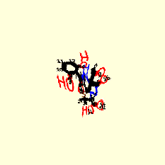 CC(=O)[C@]1(NC(=O)c2c(O)cccc2O)C(=O)N2[C@@H](C(=O)O)C(C)(C)S[C@@H]21